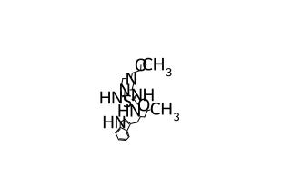 CCCC(Cc1c[nH]c2ccccc12)NC(=O)C(=N)SC(=N)N1CCN(CCOC)CC1